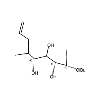 C=CCC(C)[C@@H](O)C(O)[C@@H](O)[C@H](C)OCC(C)C